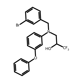 OC(CN(Cc1cccc(Br)c1)c1cccc(Oc2ccccc2)c1)C(F)(F)F